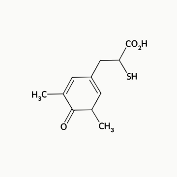 CC1=CC(CC(S)C(=O)O)=CC(C)C1=O